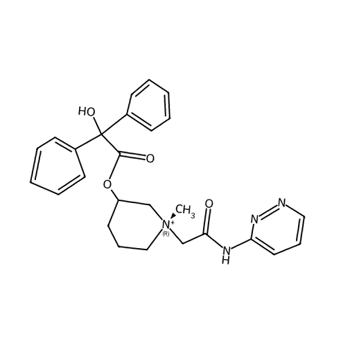 C[N@@+]1(CC(=O)Nc2cccnn2)CCCC(OC(=O)C(O)(c2ccccc2)c2ccccc2)C1